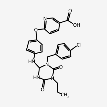 CCCN1C(=O)NC(Nc2ccc(Oc3ccc(C(=O)O)cn3)cc2)N(Cc2ccc(Cl)cc2)C1=O